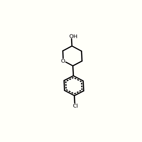 OC1CCC(c2ccc(Cl)cc2)OC1